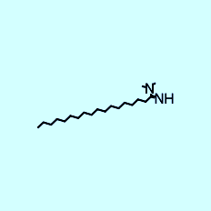 CCCCCCCCCCCCCCCCCC(=N)N(C)C